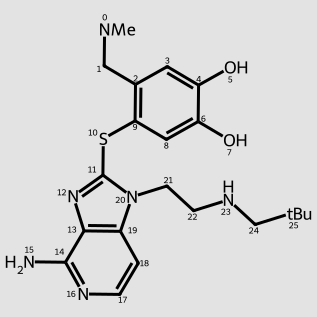 CNCc1cc(O)c(O)cc1Sc1nc2c(N)nccc2n1CCNCC(C)(C)C